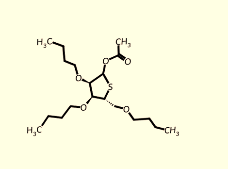 CCCCOC[C@H]1SC(OC(C)=O)[C@H](OCCCC)[C@@H]1OCCCC